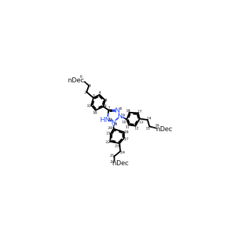 CCCCCCCCCCCCc1ccc(C2=NN(c3ccc(CCCCCCCCCCCC)cc3)N(c3ccc(CCCCCCCCCCCC)cc3)N2)cc1